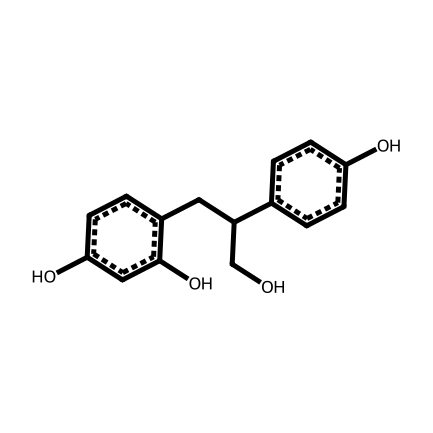 OCC(Cc1ccc(O)cc1O)c1ccc(O)cc1